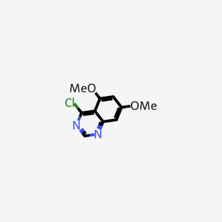 COc1cc(OC)c2c(Cl)ncnc2c1